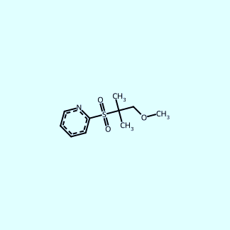 COCC(C)(C)S(=O)(=O)c1ccccn1